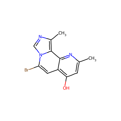 Cc1cc(O)c2cc(Br)n3cnc(C)c3c2n1